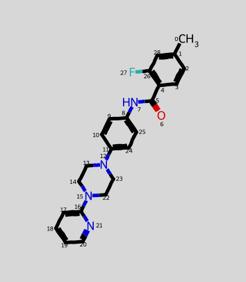 Cc1ccc(C(=O)Nc2ccc(N3CCN(c4ccccn4)CC3)cc2)c(F)c1